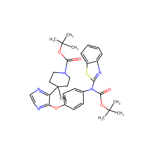 CC(C)(C)OC(=O)N1CCC(C)(c2nccnc2Oc2ccc(N(C(=O)OC(C)(C)C)c3nc4ccccc4s3)cc2)CC1